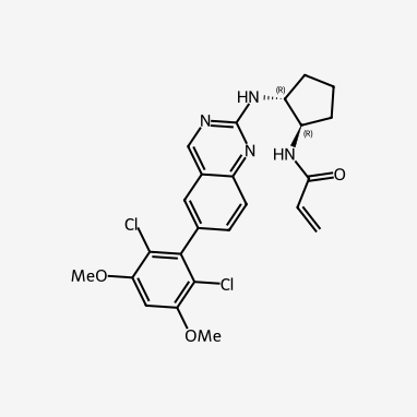 C=CC(=O)N[C@@H]1CCC[C@H]1Nc1ncc2cc(-c3c(Cl)c(OC)cc(OC)c3Cl)ccc2n1